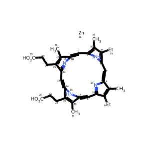 CCC1=C(C)c2cc3[nH]c(cc4nc(cc5[nH]c(cc1n2)c(C)c5CCC(=O)O)C(CCC(=O)O)=C4C)c(C)c3CC.[Zn]